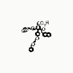 O=C(Cc1ccc2ccccc2c1)C1CN(C(=O)O)CC(COCCN2CCOCC2)C1c1ccc(OCCCOCc2ccccc2)cc1